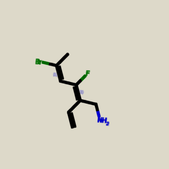 C=C/C(CN)=C(F)\C=C(/C)Br